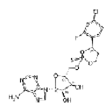 Nc1ncnc2c1ncn2[C@@H]1O[C@H](COP2(=S)OCC[C@H](c3ccc(Cl)cc3F)O2)[C@@H](O)[C@H]1O